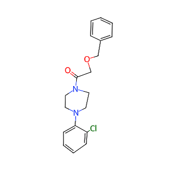 O=C(COCc1ccccc1)N1CCN(c2ccccc2Cl)CC1